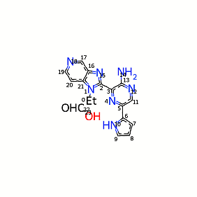 CCn1c(-c2nc(-c3ccc[nH]3)cnc2N)nc2cnccc21.O=CO